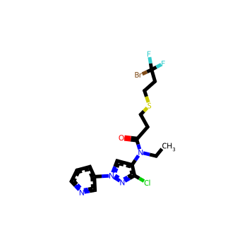 CCN(C(=O)CCSCCC(F)(F)Br)c1cn(-c2cccnc2)nc1Cl